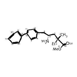 CC[C@](C)(C[C@H](N)Cc1ccc(-c2ccccc2)cc1)C(=O)OC